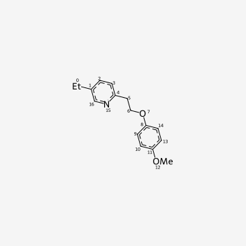 CCc1ccc(CCOc2ccc(OC)cc2)nc1